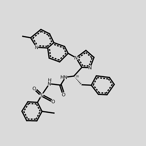 Cc1ccc2cc(-n3ccnc3[C@H](Cc3ccccc3)NC(=O)NS(=O)(=O)c3ccccc3C)ccc2n1